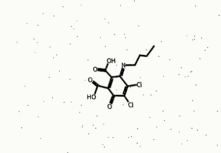 CCCCN=C1C(Cl)=C(Cl)C(=O)C(C(=O)O)=C1C(=O)O